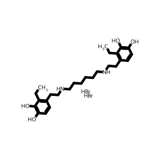 Br.Br.CCc1c(CCNCCCCCCNCCc2ccc(O)c(O)c2CC)ccc(O)c1O